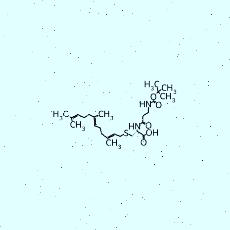 CC(C)=CCCC(C)=CCCC(C)=CCSC[C@H](NC(=O)CCNC(=O)OC(C)(C)C)C(=O)O